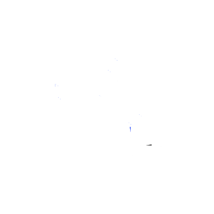 C[C@H]1CC[C@H]1n1cc(-c2nc(-c3cn[nH]c3)cn3nccc23)cn1